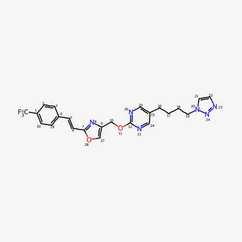 FC(F)(F)c1ccc(/C=C/c2nc(COc3ncc(CCCCn4ccnn4)cn3)co2)cc1